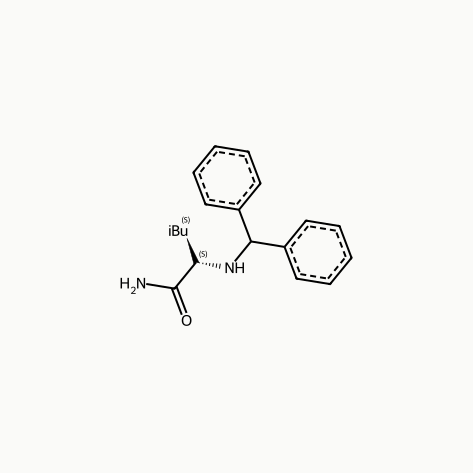 CC[C@H](C)[C@H](NC(c1ccccc1)c1ccccc1)C(N)=O